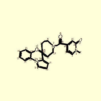 Cn1ccc(C(=O)N2CCC3(CC2)Oc2ccccc2-n2cccc23)cc1=O